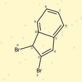 Br[C]1C(Br)=Cc2ccccc21